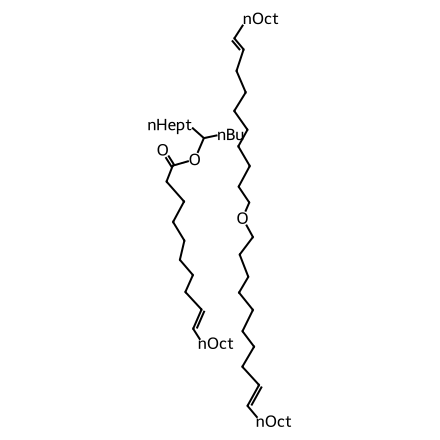 CCCCCCCCC=CCCCCCCCC(=O)OC(CCCC)CCCCCCC.CCCCCCCCC=CCCCCCCCCOCCCCCCCCC=CCCCCCCCC